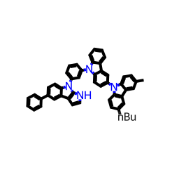 CCCCc1ccc2c(c1)c1cc(C)ccc1n2-c1ccc2c(c1)c1ccccc1n2-c1cccc(-n2c3ccc(-c4ccccc4)cc3c3cc[nH]c32)c1